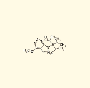 COc1ncnc2c1ccn2[Si](C(C)C)(C(C)C)C(C)C